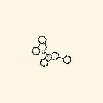 C1=CCN2C[C@@H]([C@@H]3c4ccccc4C4C=C(c5ccccc5)C=CN43)c3ccccc3C2=C1